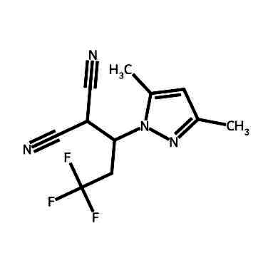 Cc1cc(C)n(C(CC(F)(F)F)C(C#N)C#N)n1